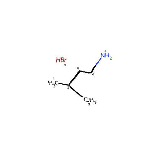 Br.CC(C)CCN